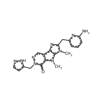 Cn1c(Cc2cccc(N)n2)nc2c3cnn(Cc4ccn[nH]4)c(=O)c3n(C)c21